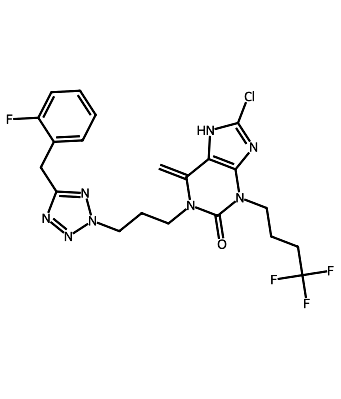 C=C1c2[nH]c(Cl)nc2N(CCCC(F)(F)F)C(=O)N1CCCn1nnc(Cc2ccccc2F)n1